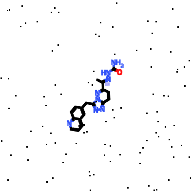 C/C(=N\NC(N)=O)c1ccc2nnc(Cc3ccc4ncccc4c3)n2n1